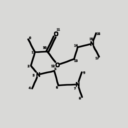 CC(CN(C)CCN(C)C)C(=O)OCCN(C)C